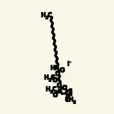 CCCCCCCCCCCCCCCCCCNC(=O)OCC(COC(=O)N(Cc1csc[n+]1C)C(C)=O)OC.[I-]